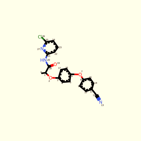 CC(Oc1ccc(Oc2ccc(C#N)cc2)cc1)C(=O)Nc1cccc(Cl)n1